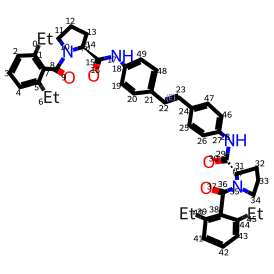 CCc1cccc(CC)c1C(=O)N1CCC[C@H]1C(=O)Nc1ccc(/C=C/c2ccc(NC(=O)[C@@H]3CCCN3C(=O)c3c(CC)cccc3CC)cc2)cc1